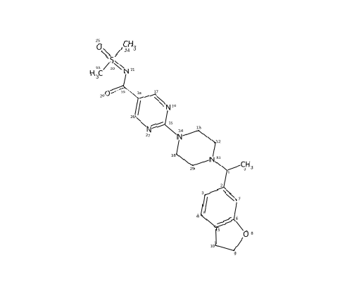 CC(c1ccc2c(c1)OCC2)N1CCN(c2ncc(C(=O)N=S(C)(C)=O)cn2)CC1